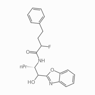 CCC[C@H](NC(=O)C(F)CCc1ccccc1)C(O)c1nc2ccccc2o1